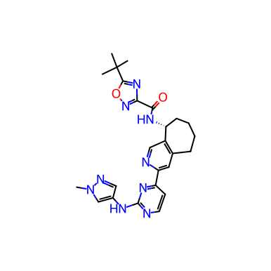 Cn1cc(Nc2nccc(-c3cc4c(cn3)[C@H](NC(=O)c3noc(C(C)(C)C)n3)CCCC4)n2)cn1